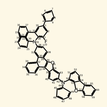 Fc1cc(-c2ccccc2)cc(-c2ccccc2)c1N(c1ccccc1)c1ccc2c(c1)c1ccccc1c1c3ccc(N(c4ccccc4)c4cccc5c4oc4ccccc45)cc3oc21